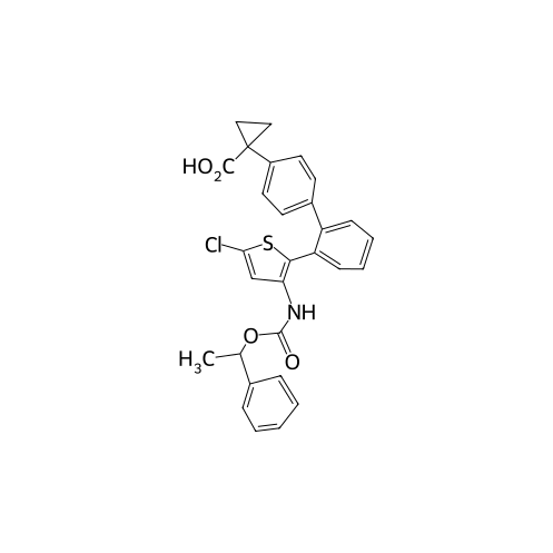 CC(OC(=O)Nc1cc(Cl)sc1-c1ccccc1-c1ccc(C2(C(=O)O)CC2)cc1)c1ccccc1